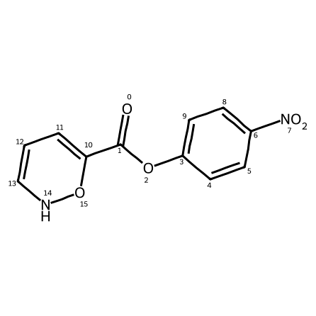 O=C(Oc1ccc([N+](=O)[O-])cc1)C1=CC=CNO1